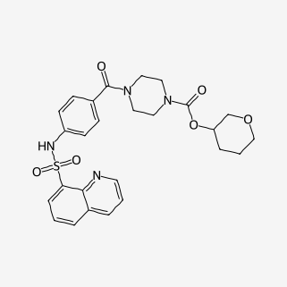 O=C(OC1CCCOC1)N1CCN(C(=O)c2ccc(NS(=O)(=O)c3cccc4cccnc34)cc2)CC1